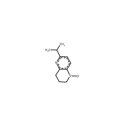 CC(C)c1ccc2c(n1)CCC[S+]2[O-]